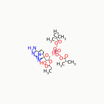 CCC(=O)O[C@H]1[C@@H](O)[C@](C#N)(c2ccc3c(N)ncnn23)O[C@@H]1COP(=O)(OCOC(=O)C(C)C)OCOC(=O)C(C)(C)C